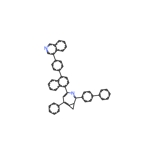 C1=C(c2ccc(-c3ccc(-c4cncc5ccccc45)cc3)c3ccccc23)N=C(c2ccc(-c3ccccc3)cc2)C2CC2=C1c1ccccc1